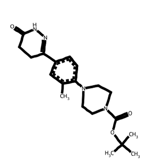 Cc1cc(C2=NNC(=O)CC2)ccc1N1CCN(C(=O)OC(C)(C)C)CC1